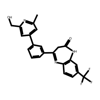 Cc1cc(-c2cccc(C3=Nc4ccc(C(F)(F)F)cc4NC(=O)C3)c2)cc(CO)n1